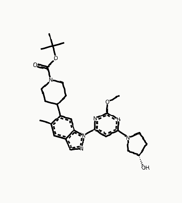 COc1nc(N2CC[C@H](O)C2)cc(-n2ncc3cc(C)c(C4CCN(C(=O)OC(C)(C)C)CC4)cc32)n1